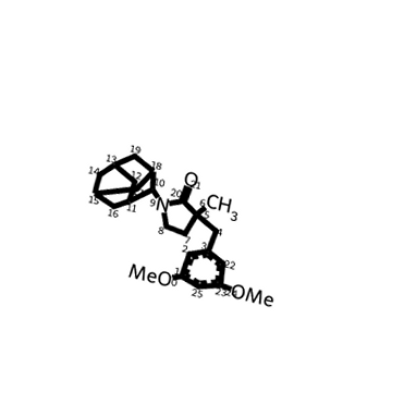 COc1cc(CC2(C)CCN(C3C4CC5CC(C4)CC3C5)C2=O)cc(OC)c1